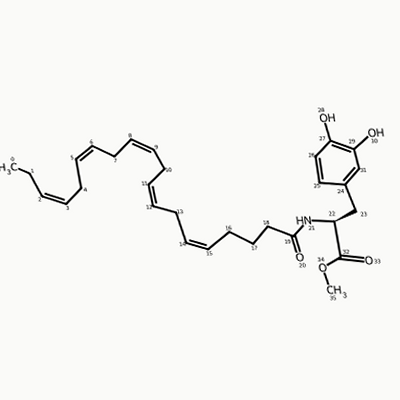 CC/C=C\C/C=C\C/C=C\C/C=C\C/C=C\CCCC(=O)N[C@@H](Cc1ccc(O)c(O)c1)C(=O)OC